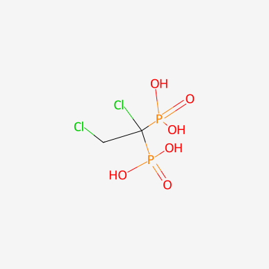 O=P(O)(O)C(Cl)(CCl)P(=O)(O)O